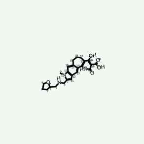 Cn1c(CNCC2CCCO2)cc2cc3c(cc21)CCCc1c-3[nH]c(=O)c(C(=O)O)c1O